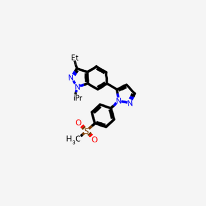 CCc1nn(C(C)C)c2cc(-c3ccnn3-c3ccc(S(C)(=O)=O)cc3)ccc12